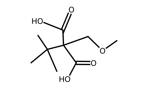 COCC(C(=O)O)(C(=O)O)C(C)(C)C